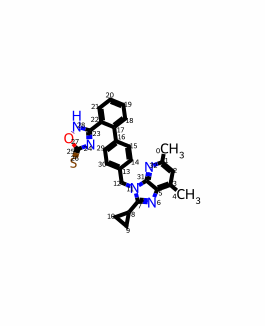 Cc1cc(C)c2nc(C3CC3)n(Cc3ccc(-c4ccccc4-c4nc(=S)o[nH]4)cc3)c2n1